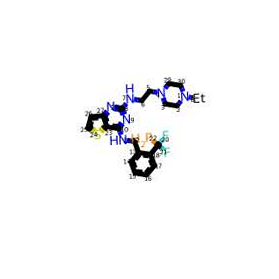 CCN1CCN(CCNc2nc(NCc3ccccc3C(F)(F)P)c3sccc3n2)CC1